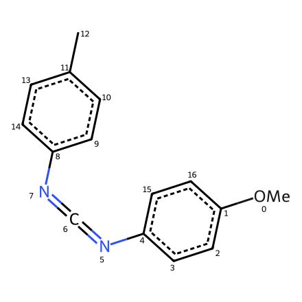 COc1ccc(N=C=Nc2ccc(C)cc2)cc1